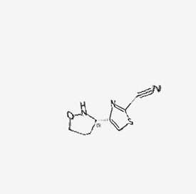 N#Cc1nc([C@@H]2CCON2)cs1